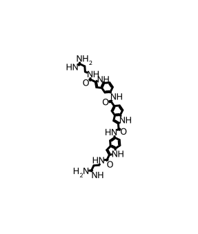 N=C(N)CCNC(=O)c1cc2cc(NC(=O)c3ccc4[nH]c(C(=O)Nc5ccc6[nH]c(C(=O)NCCC(=N)N)cc6c5)cc4c3)ccc2[nH]1